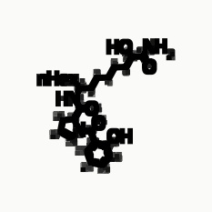 CCCCCC[C@H](CCCCC[C@@H](O)C(N)=O)NC(=O)C1CC=CN1C(=O)c1ccccc1O